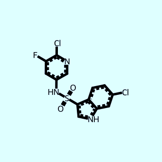 O=S(=O)(Nc1cnc(Cl)c(F)c1)c1c[nH]c2cc(Cl)ccc12